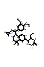 CCC1SC(=O)NN=C1c1ccc2c(c1)C(C)(C)CCN2/C(=N\C1CC1)c1ccc(OC)c(OC)c1